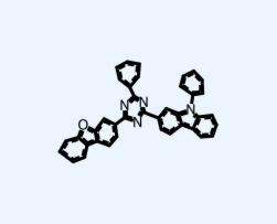 c1ccc(-c2nc(-c3ccc4c(c3)oc3ccccc34)nc(-c3ccc4c5ccccc5n(-c5ccccc5)c4c3)n2)cc1